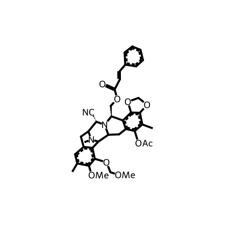 COCOc1c(OC)c(C)cc2c1C1C3Cc4c(OC(C)=O)c(C)c5c(c4[C@H](COC(=O)/C=C/c4ccccc4)N3[C@@H](C#N)C(C2)N1C)OCO5